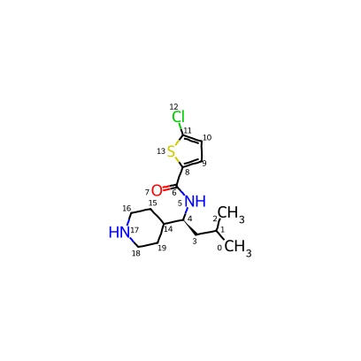 CC(C)C[C@H](NC(=O)c1ccc(Cl)s1)C1CCNCC1